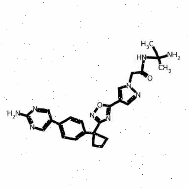 CC(C)(N)NC(=O)Cn1cc(-c2nc(C3(c4ccc(-c5cnc(N)nc5)cc4)CCC3)no2)cn1